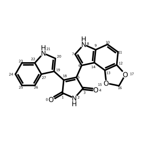 O=C1NC(=O)C(c2c[nH]c3ccc4c(c23)OCO4)=C1c1c[nH]c2ccccc12